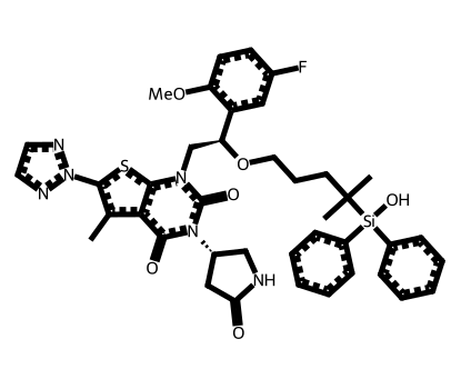 COc1ccc(F)cc1[C@H](Cn1c(=O)n([C@@H]2CNC(=O)C2)c(=O)c2c(C)c(-n3nccn3)sc21)OCCCC(C)(C)[Si](O)(c1ccccc1)c1ccccc1